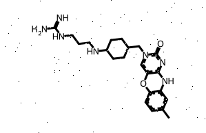 Cc1ccc2c(c1)Nc1nc(=O)n(CC3CCC(NCCCNC(=N)N)CC3)cc1O2